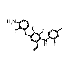 C=Cc1cc(Cc2cccc(N)c2F)c(F)c(F)c1Nc1ccc(C)cc1F